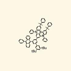 CC(C)(C)c1cc(-c2cc(-c3cc4c5c(c3)N(c3ccccc3)c3ccc(C(C)(C)c6ccccc6)cc3B5c3cc(C(C)(C)c5ccccc5)ccc3N4c3ccccc3)cc(-c3c4ccccc4c(-c4ccccc4)c4ccccc34)c2)cc(C(C)(C)C)c1